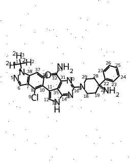 [2H]C([2H])([2H])n1ncc2c(Cl)c(-c3c[nH]c4nc(N5CCC(N)(c6ccccc6)CC5)nc(C(N)=O)c34)ccc21